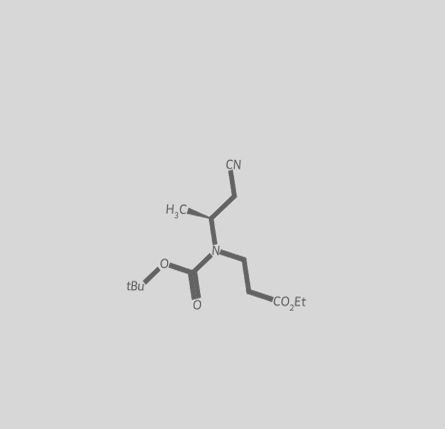 CCOC(=O)CCN(C(=O)OC(C)(C)C)[C@@H](C)CC#N